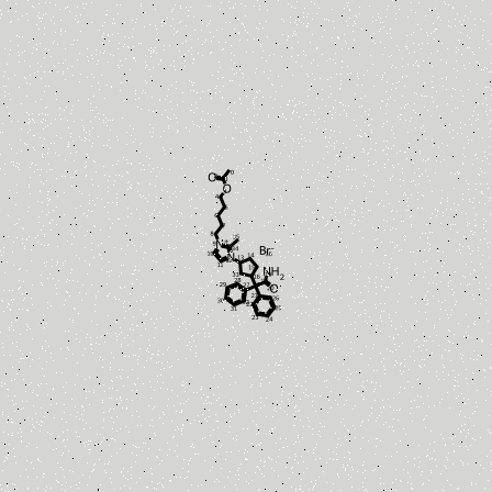 CC(=O)OCCCCC[n+]1ccn(C2CCC(C(C(N)=O)(c3ccccc3)c3ccccc3)C2)c1C.[Br-]